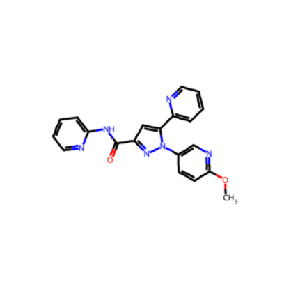 COc1ccc(-n2nc(C(=O)Nc3ccccn3)cc2-c2ccccn2)cn1